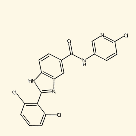 O=C(Nc1ccc(Cl)nc1)c1ccc2[nH]c(-c3c(Cl)cccc3Cl)nc2c1